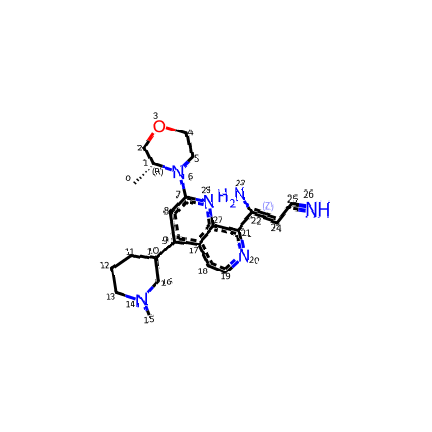 C[C@@H]1COCCN1c1cc(C2CCCN(C)C2)c2ccnc(/C(N)=C/C=N)c2n1